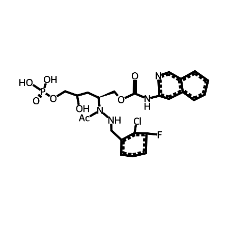 CC(=O)N(NCc1cccc(F)c1Cl)[C@H](COC(=O)Nc1cc2ccccc2cn1)CC(O)COP(=O)(O)O